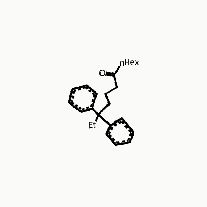 CCCCCCC(=O)CCCC(CC)(c1ccccc1)c1ccccc1